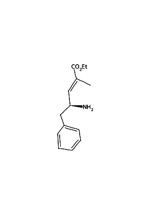 CCOC(=O)/C(C)=C/[C@@H](N)Cc1ccccc1